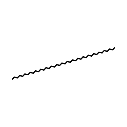 CCCCCCCCCCCC[CH]CCCCCCCCCCCCCCCCCCCCCCCCCCC